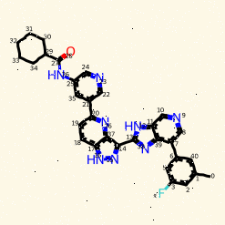 Cc1cc(F)cc(-c2cncc3[nH]c(-c4n[nH]c5ccc(-c6cncc(NC(=O)C7CCCCC7)c6)nc45)nc23)c1